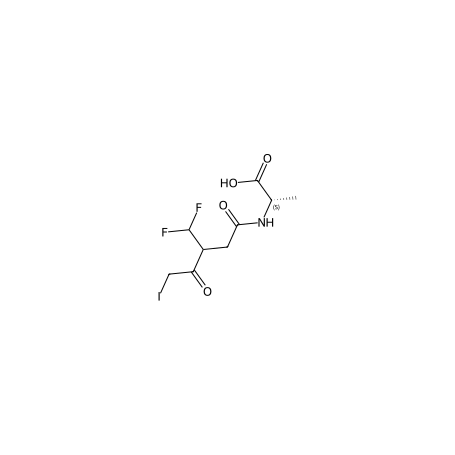 C[C@H](NC(=O)CC(C(=O)CI)C(F)F)C(=O)O